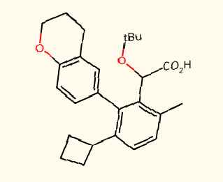 Cc1ccc(C2CCC2)c(-c2ccc3c(c2)CCCO3)c1C(OC(C)(C)C)C(=O)O